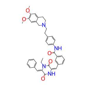 CCn1c(=O)c(=Cc2cccc(C(=O)Nc3ccc(CCN4CCc5cc(OC)c(OC)cc5C4)cc3)c2)[nH]c(=O)c1=Cc1ccccc1